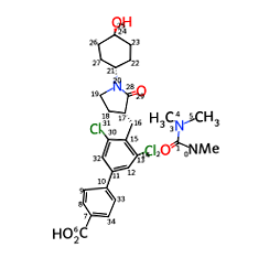 CNC(=O)N(C)C.O=C(O)c1ccc(-c2cc(Cl)c(C[C@@H]3CCN([C@H]4CC[C@H](O)CC4)C3=O)c(Cl)c2)cc1